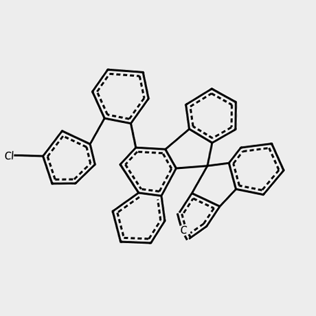 Clc1cccc(-c2ccccc2-c2cc3ccccc3c3c2-c2ccccc2C32c3ccccc3-c3ccccc32)c1